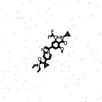 CCN(CC)C(=O)C1(c2ccn3c(-c4cc(OC)c(C(=O)NC5CC5)c(OC(F)F)c4)cnc3c2)CC1